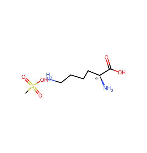 CS(=O)(=O)O.NCCCC[C@H](N)C(=O)O